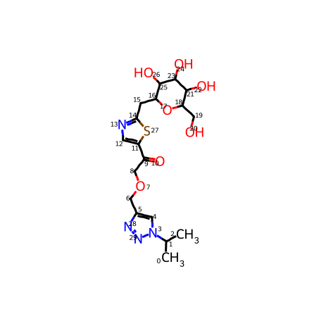 CC(C)n1cc(COCC(=O)c2cnc(CC3OC(CO)C(O)C(O)C3O)s2)nn1